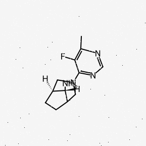 Cc1ncnc(N2CC3CC[C@@H](C2)[C@@H]3N)c1F